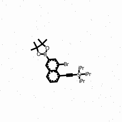 CC(C)[Si](C#Cc1cccc2cc(B3OC(C)(C)C(C)(C)O3)cc(Br)c12)(C(C)C)C(C)C